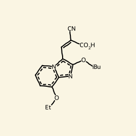 CCOc1cccn2c(C=C(C#N)C(=O)O)c(OC(C)CC)nc12